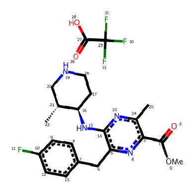 COC(=O)c1nc(Cc2ccc(F)cc2)c(N[C@@H]2CCNC[C@H]2C)nc1C.O=C(O)C(F)(F)F